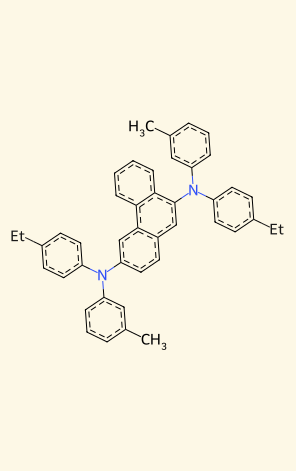 CCc1ccc(N(c2cccc(C)c2)c2ccc3cc(N(c4ccc(CC)cc4)c4cccc(C)c4)c4ccccc4c3c2)cc1